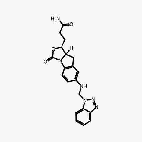 NC(=O)CC[C@@H]1OC(=O)N2c3ccc(NCn4nnc5ccccc54)cc3C[C@@H]12